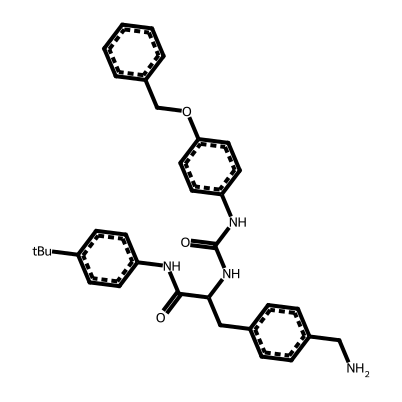 CC(C)(C)c1ccc(NC(=O)C(Cc2ccc(CN)cc2)NC(=O)Nc2ccc(OCc3ccccc3)cc2)cc1